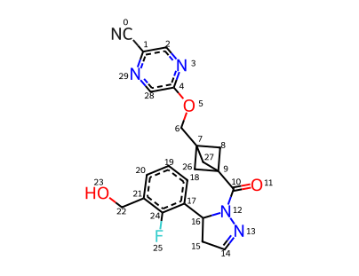 N#Cc1cnc(OCC23CC(C(=O)N4N=CCC4c4cccc(CO)c4F)(C2)C3)cn1